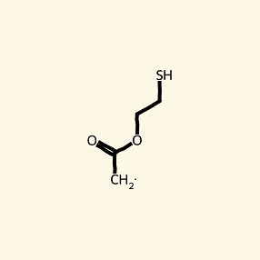 [CH2]C(=O)OCCS